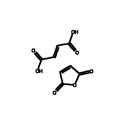 O=C(O)C=CC(=O)O.O=C1C=CC(=O)O1